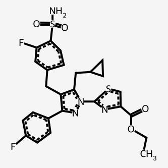 CCOC(=O)c1csc(-n2nc(-c3ccc(F)cc3)c(Cc3ccc(S(N)(=O)=O)c(F)c3)c2CC2CC2)n1